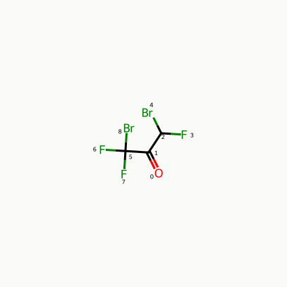 O=C(C(F)Br)C(F)(F)Br